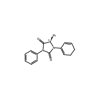 CC(C)[C@@H]1C(=O)N(c2ccccc2)C(=O)N1C1=CCCC=C1